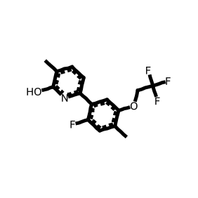 Cc1cc(F)c(-c2ccc(C)c(O)n2)cc1OCC(F)(F)F